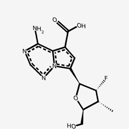 C[C@H]1[C@@H](F)[C@H](c2cc(C(=O)O)c3c(N)ncnn23)O[C@@H]1CO